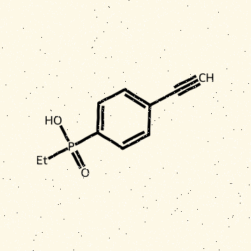 C#Cc1ccc(P(=O)(O)CC)cc1